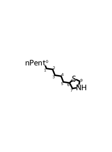 CCCCCCCCCCC1CNCS1